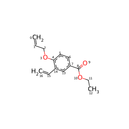 C=CCOc1ccc(C(=O)OCC)cc1C=C